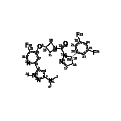 CN(C)c1cc(-c2cc(OC3CN(C(=O)N4N=CC[C@H]4c4cc(F)cc(F)c4)C3)c(F)cn2)n(C)n1